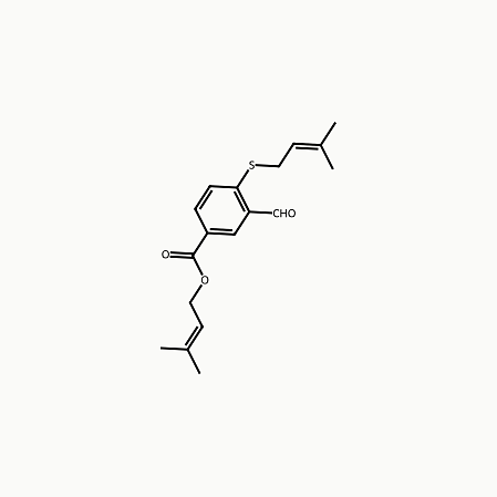 CC(C)=CCOC(=O)c1ccc(SCC=C(C)C)c(C=O)c1